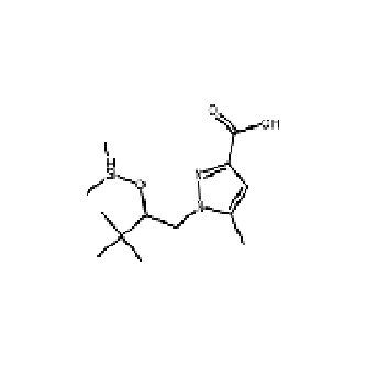 Cc1cc(C(=O)O)nn1CC(O[SiH](C)C)C(C)(C)C